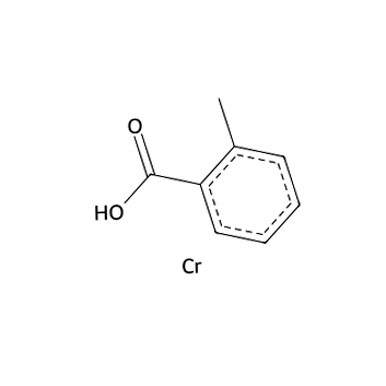 Cc1ccccc1C(=O)O.[Cr]